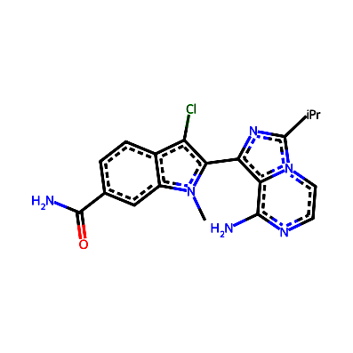 CC(C)c1nc(-c2c(Cl)c3ccc(C(N)=O)cc3n2C)c2c(N)nccn12